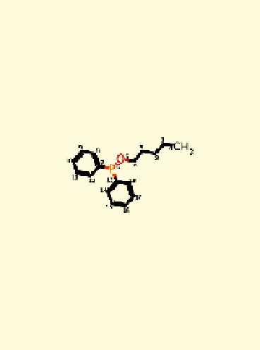 CCCCCOP(c1ccccc1)c1ccccc1